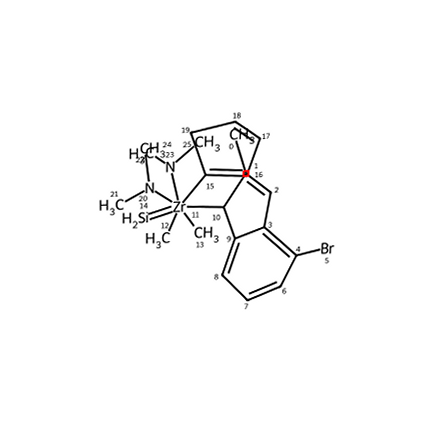 CC1=Cc2c(Br)cccc2[CH]1[Zr]([CH3])([CH3])(=[SiH2])([C]1=CC=CC1)([N](C)C)[N](C)C